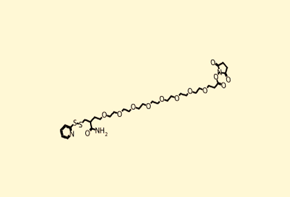 NC(=O)C(CCOCCOCCOCCOCCOCCOCCOCCOCCC(=O)ON1C(=O)CCC1=O)CSSc1ccccn1